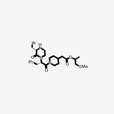 COCC(C)OC(=O)CC1CCN(C(=O)[C@H](CC(C)C)N2CCN[C@@H](CC(C)C)C2=O)CC1